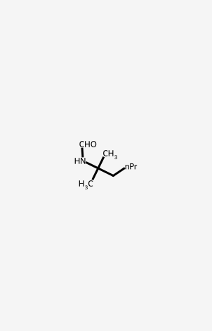 CCCCC(C)(C)NC=O